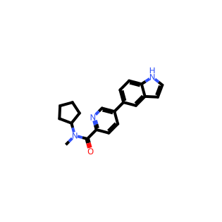 CN(C(=O)c1ccc(-c2ccc3[nH]ccc3c2)cn1)C1CCCC1